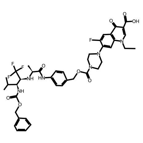 CCn1cc(C(=O)O)c(=O)c2cc(F)c(N3CCN(C(=O)OCc4ccc(NC(=O)[C@H](C)N[C@@H]([C@@H](NC(=O)OCc5ccccc5)C(C)C)C(F)(F)F)cc4)CC3)cc21